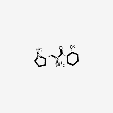 CC(=O)[C@@H]1CCCC[C@@H]1C(=O)N(N)C[C@@H]1CCCN1C(C)C